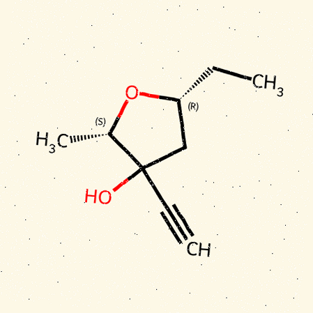 C#CC1(O)C[C@@H](CC)O[C@H]1C